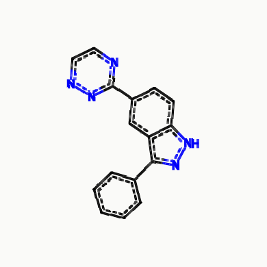 c1ccc(-c2n[nH]c3ccc(-c4nccnn4)cc23)cc1